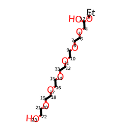 CCOC(O)COCCOCCOCCOCCOCCOCCO